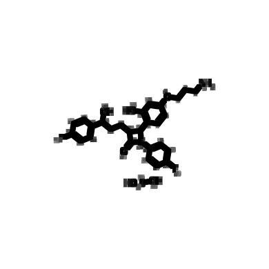 NCCCOc1ccc(C2C(CCC(O)c3ccc(F)cc3)C(=O)N2c2ccc(F)cc2)c(O)c1.O=S(=O)(O)O